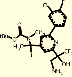 CN(C(=O)OC(C)(C)C)C(C)(I)c1cc(-c2ccc(F)c(Cl)c2)nc(C(O)(CN)C(F)(F)F)c1